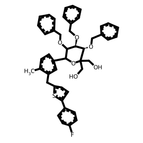 Cc1ccc(C2OC(CO)(CO)[C@@H](OCc3ccccc3)[C@H](OCc3ccccc3)C2OCc2ccccc2)cc1Cc1ccc(-c2ccc(F)cc2)s1